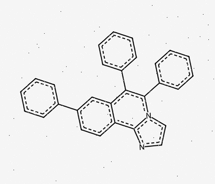 c1ccc(-c2ccc3c(c2)c(-c2ccccc2)c(-c2ccccc2)n2ccnc32)cc1